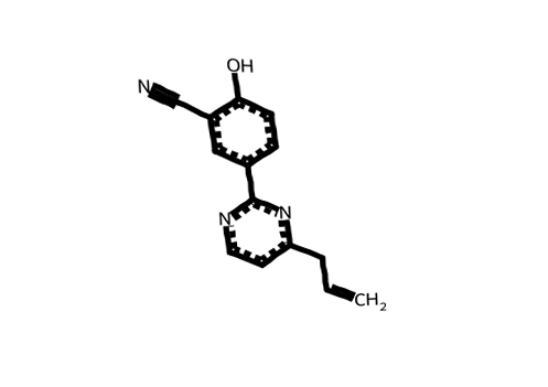 C=CCc1ccnc(-c2ccc(O)c(C#N)c2)n1